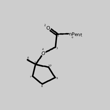 CCCCCC(=O)COC1(C)CCCC1